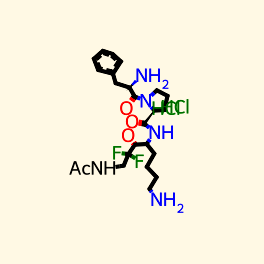 CC(=O)NCC(F)(F)C(=O)C(CCCCN)NC(=O)[C@@H]1CCCN1C(=O)[C@H](N)Cc1ccccc1.Cl.Cl